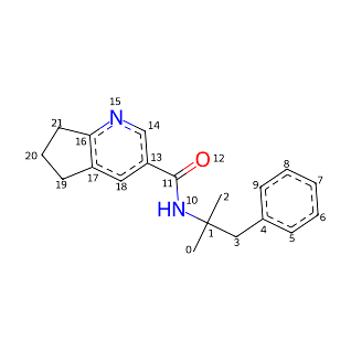 CC(C)(Cc1ccccc1)NC(=O)c1cnc2c(c1)CCC2